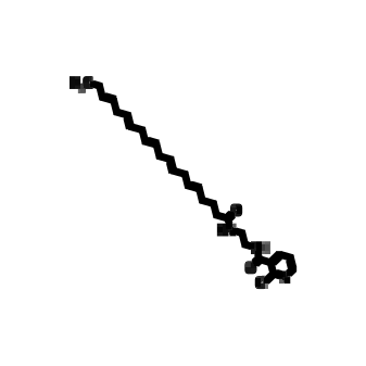 CCC=CCC=CCC=CCC=CCC=CCCCC(=O)NCCNC(=O)c1cccnc1Cl